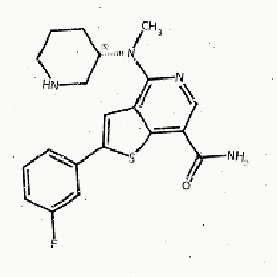 CN(c1ncc(C(N)=O)c2sc(-c3cccc(F)c3)cc12)[C@H]1CCCNC1